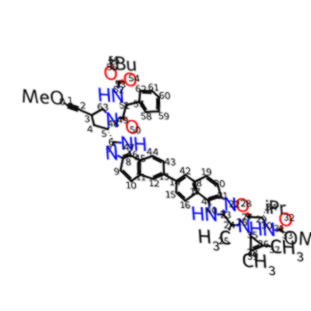 COC#CC1C[C@@H](c2nc3ccc4cc(-c5ccc6c(ccc7nc([C@H](C)N(C(=O)[C@@H](NC(=O)OC)C(C)C)C8C(C)=C8C)[nH]c76)c5)ccc4c3[nH]2)N(C(=O)[C@H](NC(=O)OC(C)(C)C)c2ccccc2)C1